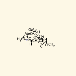 C=CC(=O)Nc1cc(Cl)cc(C)c1Nc1ncc2cc(-c3c(Cl)c(OC)cc(OC)c3Cl)c(=O)n(Cc3ccc(NC(=O)/C=C/CN(C)C)cc3)c2n1